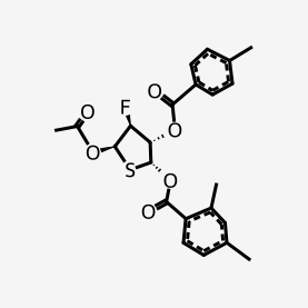 CC(=O)O[C@@H]1S[C@@H](OC(=O)c2ccc(C)cc2C)[C@@H](OC(=O)c2ccc(C)cc2)[C@@H]1F